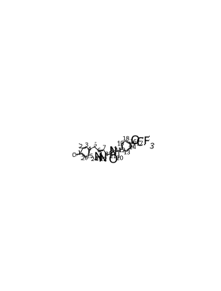 Cc1ccc(Cc2cc(C3=NC(c4ccc(OC(F)(F)F)cc4)CO3)nn2C)cc1